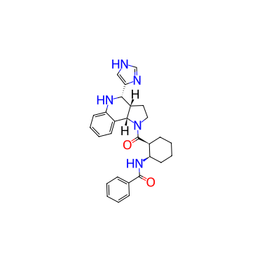 O=C(N[C@@H]1CCCC[C@@H]1C(=O)N1CC[C@H]2[C@@H](c3c[nH]cn3)Nc3ccccc3[C@H]21)c1ccccc1